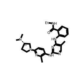 CCNC(=O)c1ccccc1Nc1nc(Nc2ccc(N3CC[C@H](N(C)C)C3)nc2C)ncc1C